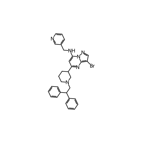 Brc1cnn2c(NCc3cccnc3)cc(C3CCCN(CC(c4ccccc4)c4ccccc4)C3)nc12